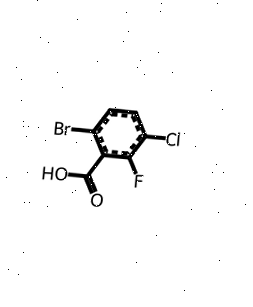 O=C(O)c1c(Br)ccc(Cl)c1F